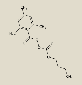 CCCCOC(=O)OOC(=O)c1c(C)cc(C)cc1C